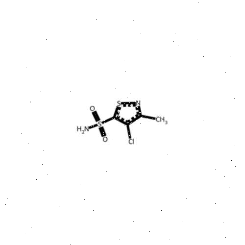 Cc1nsc(S(N)(=O)=O)c1Cl